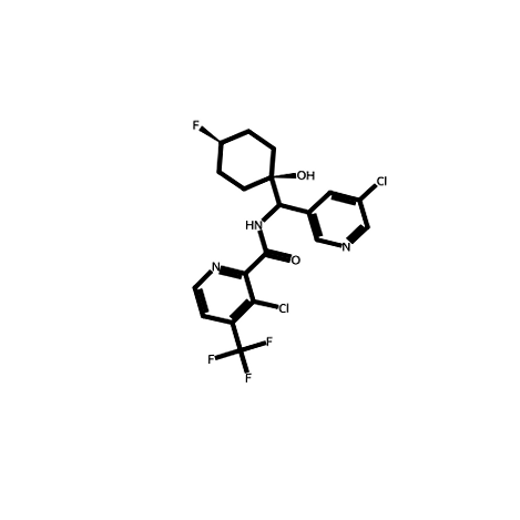 O=C(NC(c1cncc(Cl)c1)[C@]1(O)CC[C@@H](F)CC1)c1nccc(C(F)(F)F)c1Cl